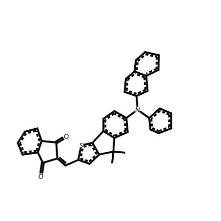 CC1(C)c2cc(N(c3ccccc3)c3ccc4ccccc4c3)ccc2-c2sc(C=C3C(=O)c4ccccc4C3=O)cc21